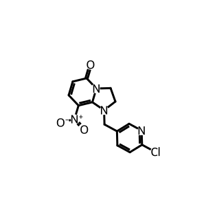 O=c1ccc([N+](=O)[O-])c2n1CCN2Cc1ccc(Cl)nc1